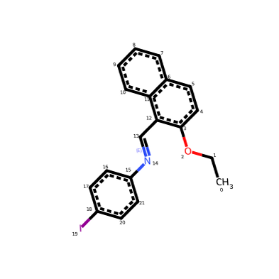 CCOc1ccc2ccccc2c1/C=N/c1ccc(I)cc1